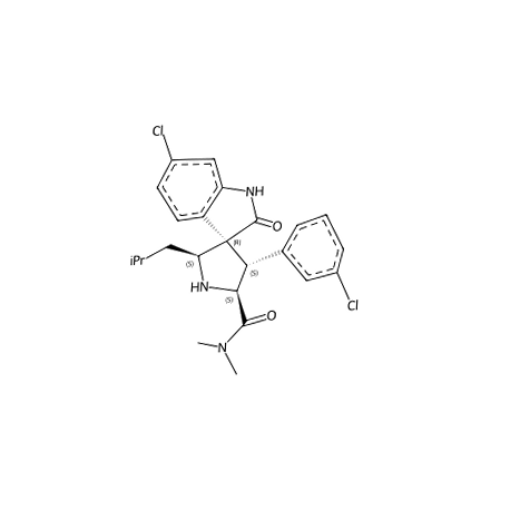 CC(C)C[C@@H]1N[C@H](C(=O)N(C)C)[C@@H](c2cccc(Cl)c2)[C@]12C(=O)Nc1cc(Cl)ccc12